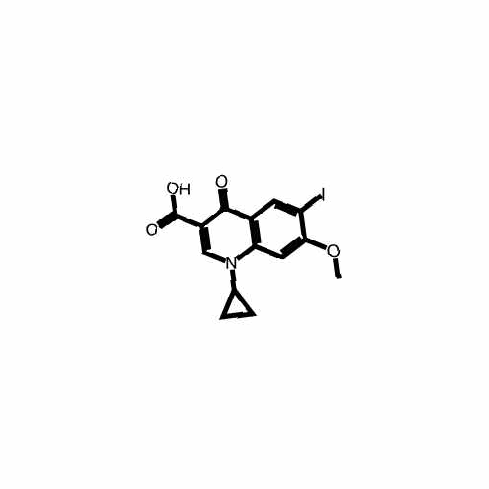 COc1cc2c(cc1I)c(=O)c(C(=O)O)cn2C1CC1